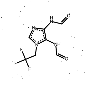 O=CNc1ncn(CC(F)(F)F)c1NC=O